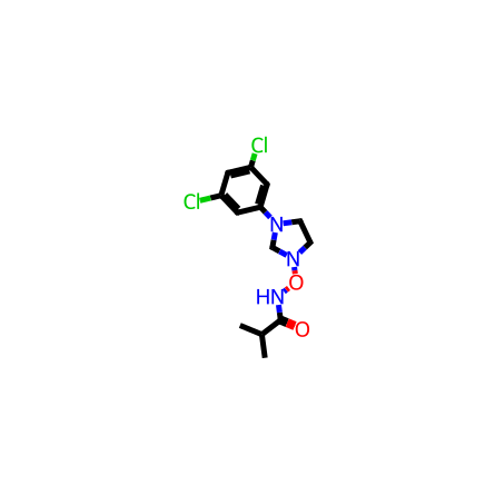 CC(C)C(=O)NON1CCN(c2cc(Cl)cc(Cl)c2)C1